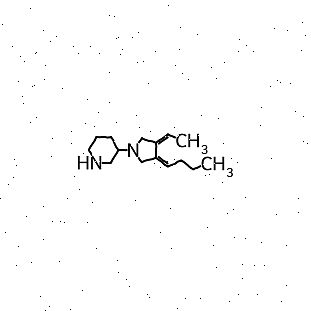 C/C=C1/CN(C2CCCNC2)C/C1=C/CCC